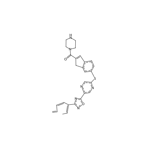 C=C/C=C\C(=C/C)c1noc(-c2cnc(Sc3ccc4c(c3)CC(C(=O)N3CCNCC3)=C4)cn2)n1